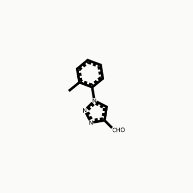 Cc1ccccc1-n1cc(C=O)nn1